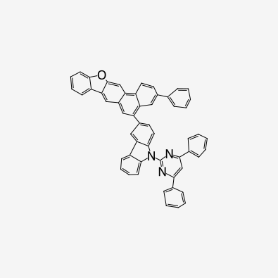 c1ccc(-c2ccc3c(c2)c(-c2ccc4c(c2)c2ccccc2n4-c2nc(-c4ccccc4)cc(-c4ccccc4)n2)cc2cc4c(cc23)oc2ccccc24)cc1